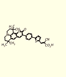 CC1(C)CCN2CCC(C)(C)c3c2c1cc1cc(-c2ccc(-c4ccc(/C=C(\C#N)C(=O)O)s4)cc2)c(=O)oc31